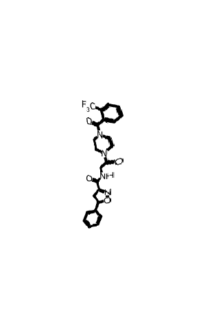 O=C(NCC(=O)N1CCN(C(=O)c2ccccc2C(F)(F)F)CC1)C1=NOC(c2ccccc2)C1